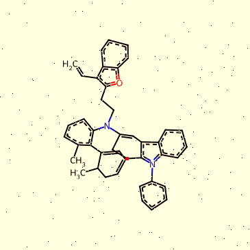 C=Cc1c(CCN(C2=Cc3c(n(-c4ccccc4)c4ccccc34)CC2)c2cccc(C)c2C2=CC=CCC2C)oc2ccccc12